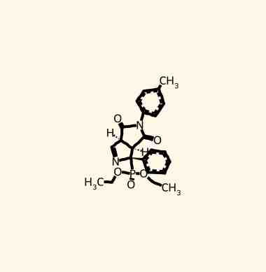 CCOP(=O)(OCC)[C@]1(c2ccccc2)N=C[C@H]2C(=O)N(c3ccc(C)cc3)C(=O)[C@H]21